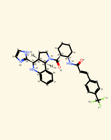 O=C(C=Cc1ccc(C(F)(F)F)cc1)N[C@@H]1CCCC[C@@H]1C(=O)N1CC[C@@H]2[C@H](c3ncc[nH]3)Nc3ccccc3[C@@H]21